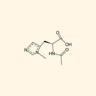 CC(=O)N[C@@H](Cc1cncn1C)C(=O)O